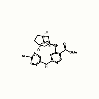 COC(=O)c1cnc(Nc2cnc(C#N)cn2)cc1N[C@H]1C[C@H]2CC[C@@H](C1)N2C